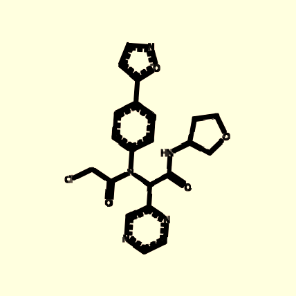 O=C(NC1CCOC1)C(c1cnccn1)N(C(=O)CCl)c1ccc(-c2ccno2)cc1